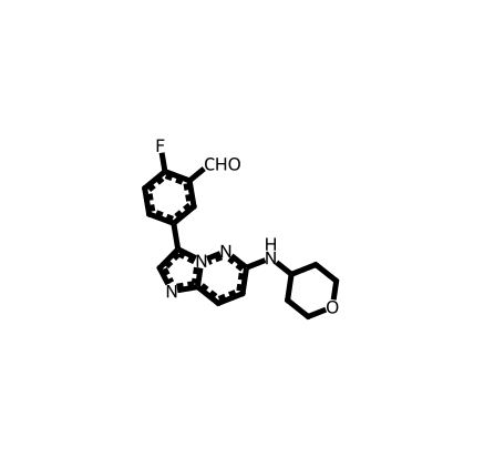 O=Cc1cc(-c2cnc3ccc(NC4CCOCC4)nn23)ccc1F